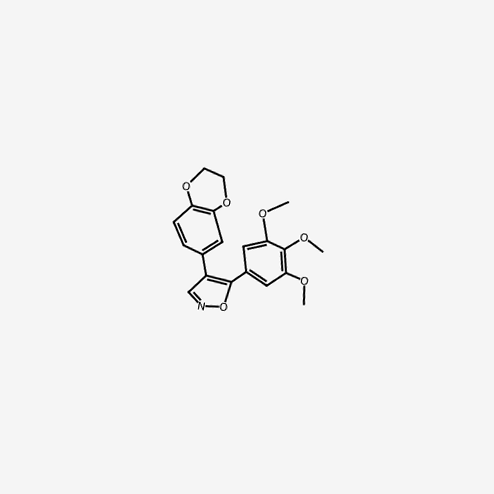 COc1cc(-c2oncc2-c2ccc3c(c2)OCCO3)cc(OC)c1OC